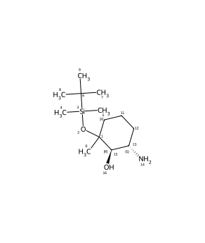 CC1(O[Si](C)(C)C(C)(C)C)CCC[C@H](N)[C@H]1O